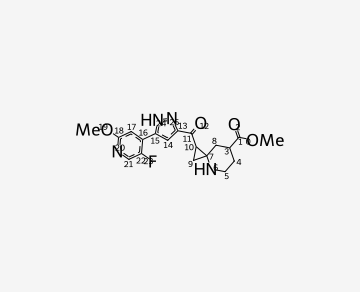 COC(=O)C1CCNC2(C1)CC2C(=O)c1cc(-c2cc(OC)ncc2F)[nH]n1